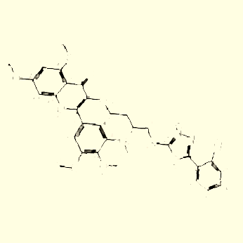 COc1cc(OC)c2c(=O)c(OCCCCSc3nnc(-c4ccccc4Cl)o3)c(-c3cc(OC)c(OC)c(OC)c3)oc2c1